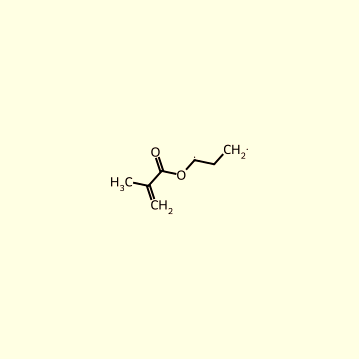 [CH2]C[CH]OC(=O)C(=C)C